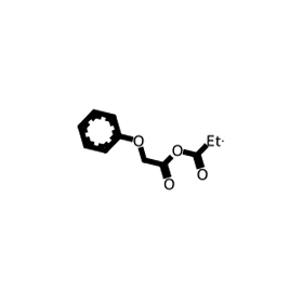 C[CH]C(=O)OC(=O)COc1ccccc1